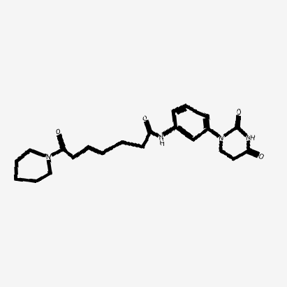 O=C1CCN(c2cccc(NC(=O)CCCCCC(=O)N3CCCCC3)c2)C(=O)N1